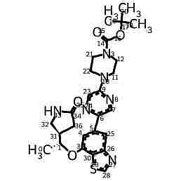 C[C@@H](Oc1cc(-c2cnc(N3CCN(C(=O)OC(C)(C)C)CC3)cn2)cc2ncsc12)[C@H]1CNC(=O)C1